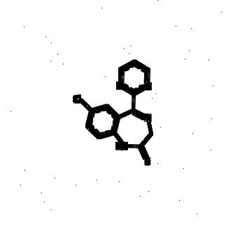 S=C1CN=C(c2ncccn2)c2cc(Cl)ccc2N1